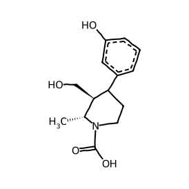 C[C@@H]1[C@@H](CO)C(c2cccc(O)c2)CCN1C(=O)O